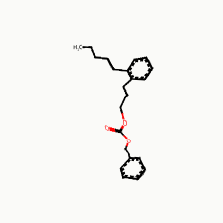 CCCCCc1ccccc1CCCOC(=O)OCc1ccccc1